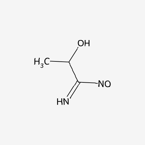 CC(O)C(=N)N=O